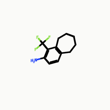 Nc1ccc2c(c1C(F)(F)F)CCCCC2